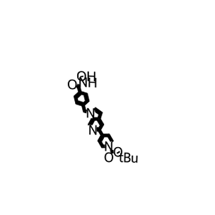 CC(C)(C)OC(=O)N1CC=C(c2cc3ccn(Cc4ccc(C(=O)NO)cc4)c3cn2)CC1